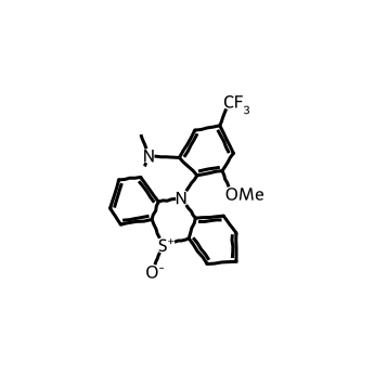 COc1cc(C(F)(F)F)cc(N(C)C)c1N1c2ccccc2[S+]([O-])c2ccccc21